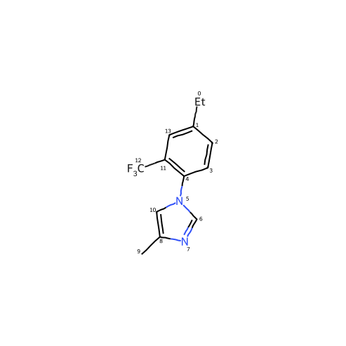 CCc1ccc(-n2cnc(C)c2)c(C(F)(F)F)c1